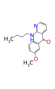 CCCCNc1ncccc1C(=O)c1cccc(OC)c1